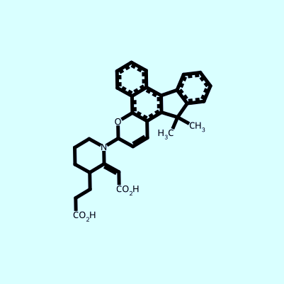 CC1(C)c2ccccc2-c2c1c1c(c3ccccc23)OC(N2CCCC(CCC(=O)O)C2=CC(=O)O)C=C1